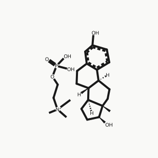 C[C@]12CC[C@@H]3c4ccc(O)cc4CC[C@H]3[C@@H]1CC[C@@H]2O.C[N+](C)(C)CCOP(=O)(O)O